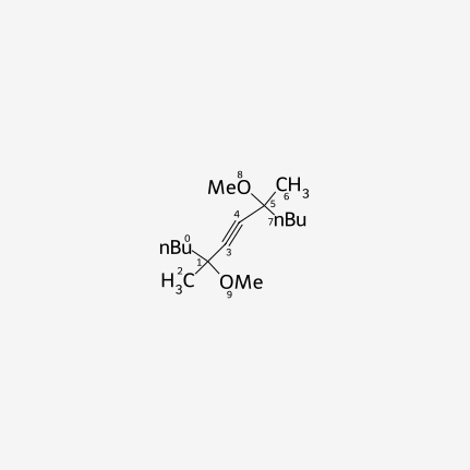 CCCCC(C)(C#CC(C)(CCCC)OC)OC